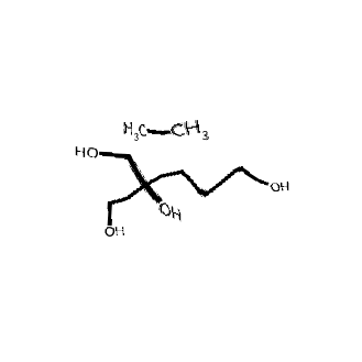 CC.OCCCC(O)(CO)CO